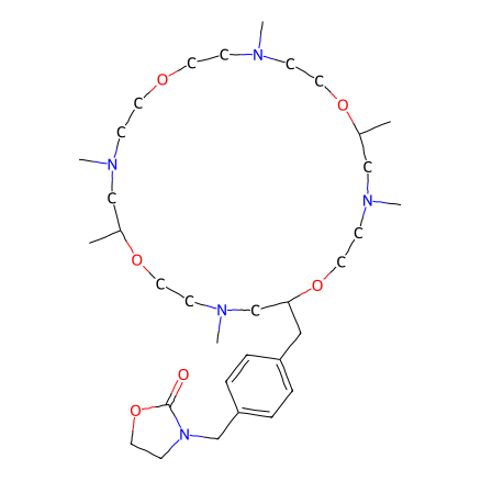 CC1CN(C)CCOCCN(C)CCOC(C)CN(C)CCOC(Cc2ccc(CN3CCOC3=O)cc2)CN(C)CCO1